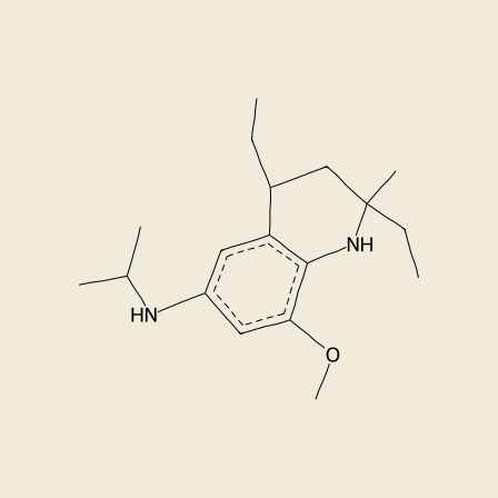 CCC1CC(C)(CC)Nc2c(OC)cc(NC(C)C)cc21